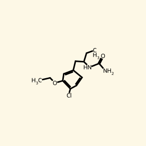 CCOc1cc(CC(CC)NC(N)=O)ccc1Cl